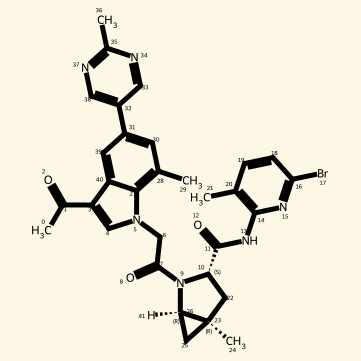 CC(=O)c1cn(CC(=O)N2[C@H](C(=O)Nc3nc(Br)ccc3C)C[C@@]3(C)C[C@@H]23)c2c(C)cc(-c3cnc(C)nc3)cc12